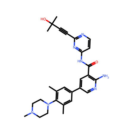 Cc1cc(-c2cnc(N)c(C(=O)Nc3ccnc(C#CC(C)(C)O)n3)c2)cc(C)c1N1CCN(C)CC1